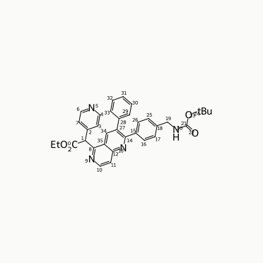 CCOC(=O)C(c1ccncc1)c1nccc2nc(-c3ccc(CNC(=O)OC(C)(C)C)cc3)c(-c3ccccc3)cc12